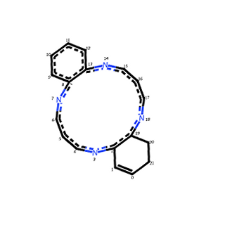 C1=Cc2ncccnc3ccccc3ncccnc2CC1